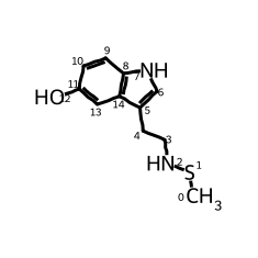 CSNCCc1c[nH]c2ccc(O)cc12